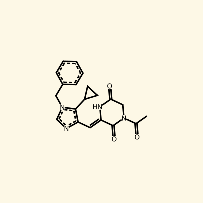 CC(=O)N1CC(=O)NC(=Cc2ncn(Cc3ccccc3)c2C2CC2)C1=O